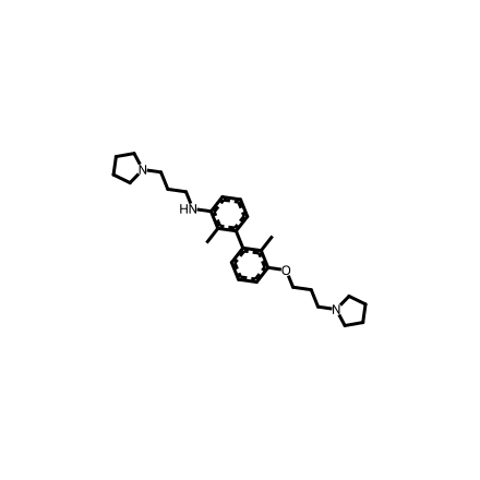 Cc1c(NCCCN2CCCC2)cccc1-c1cccc(OCCCN2CCCC2)c1C